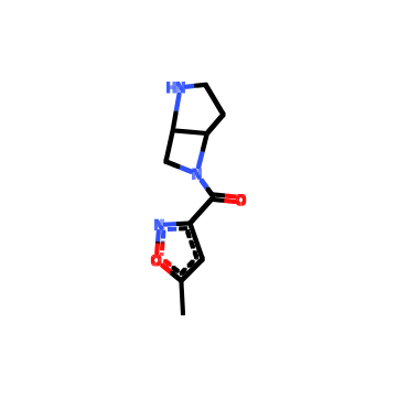 Cc1cc(C(=O)N2CC3NCCC32)no1